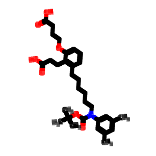 Cc1cc(C)cc(N(CCCCCCc2cccc(OCCCC(=O)O)c2CCC(=O)O)C(=O)OC(C)(C)C)c1